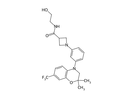 CC1(C)CN(c2cccc(N3CC(C(=O)NCCO)C3)c2)c2ccc(C(F)(F)F)cc2O1